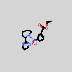 CCOC(=O)c1cccc(N(O)N2CCCCC2c2ncccn2)c1